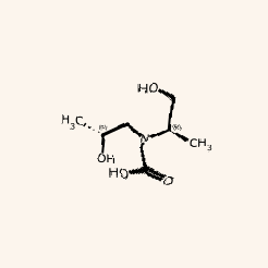 C[C@H](CO)N(C[C@@H](C)O)C(=O)O